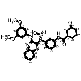 COc1cc(Nc2nc3ccccc3nc2N(c2cccc(NC(=O)C3CCCC(=O)C3)c2)[SH](=O)=O)cc(OC)c1